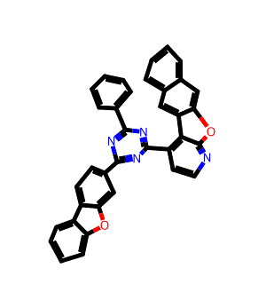 c1ccc(-c2nc(-c3ccc4c(c3)oc3ccccc34)nc(-c3ccnc4oc5cc6ccccc6cc5c34)n2)cc1